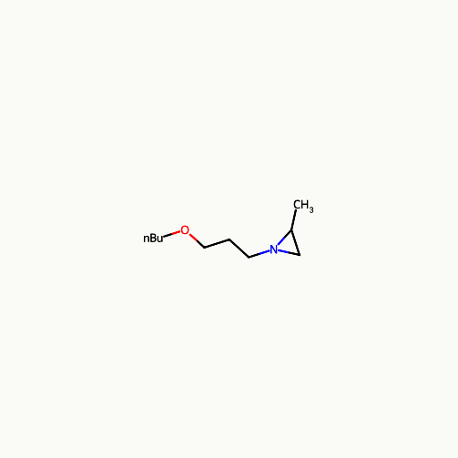 CCCCOCCCN1CC1C